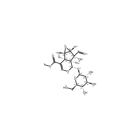 COC(=O)C1=CO[C@@H](O[C@@H]2O[C@H](CO)[C@@H](O)[C@H](O)[C@H]2O)[C@H]2[C@@H]1[C@@H]1O[C@@H]1[C@@]2(O)C=O